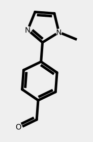 Cn1ccnc1-c1ccc(C=O)cc1